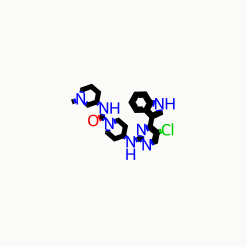 CN1CCCC(NC(=O)N2CCC(Nc3ncc(Cl)c(-c4c[nH]c5ccccc45)n3)CC2)C1